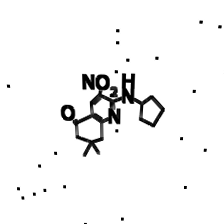 CC1(C)CC(=O)c2cc([N+](=O)[O-])c(NC3CCCC3)nc2C1